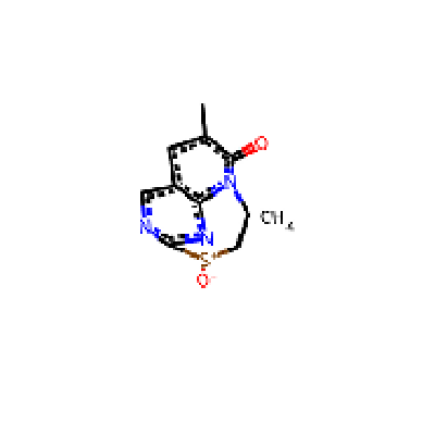 C.Cc1cc2cnc3nc2n(c1=O)CC[S+]3[O-]